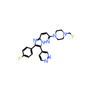 FCN1CCN(c2ccc3nc(-c4ccc(F)cc4)c(-c4ccnnc4)n3n2)CC1